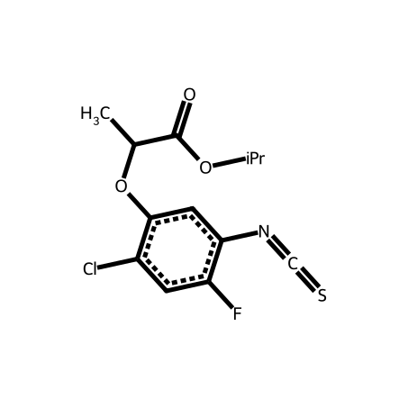 CC(C)OC(=O)C(C)Oc1cc(N=C=S)c(F)cc1Cl